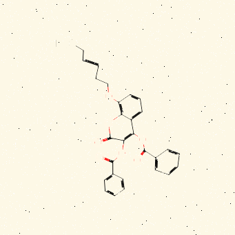 CCC=CCCOc1cccc2c(OC(=O)c3ccccc3)c(OC(=O)c3ccccc3)c(=O)oc12